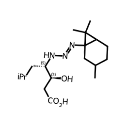 CC(C)C[C@H](NN=NC12CC(C)CCC1C2(C)C)[C@@H](O)CC(=O)O